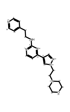 c1cc(CCNc2nccc(-c3cnn(CCN4CCOCC4)c3)n2)ccn1